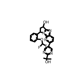 CC(C)(O)c1ncc(-c2ccc3nc4n(c3n2)C(c2ccccc2OC(F)F)CC4O)cn1